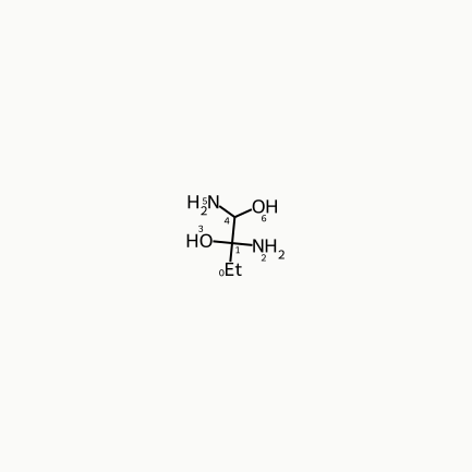 CCC(N)(O)C(N)O